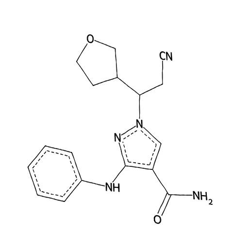 N#CCC(C1CCOC1)n1cc(C(N)=O)c(Nc2ccccc2)n1